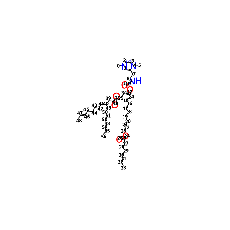 C=N/C=C\N(C)CCCNC(=O)OC(CCCCCCCCCCOC(=O)CCCCCCC)CCOC(=O)CC(CCCCCCCC)CCCCCCCC